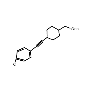 CCCCCCCCCCC1CCC(C#Cc2ccc(Cl)cc2)CC1